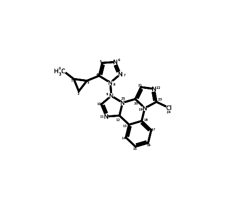 CC1CC1c1cnnn1N1C=NC2c3ccccc3-n3c(cnc3Cl)N21